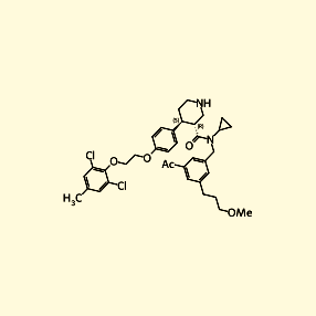 COCCCc1cc(CN(C(=O)[C@H]2CNCC[C@@H]2c2ccc(OCCOc3c(Cl)cc(C)cc3Cl)cc2)C2CC2)cc(C(C)=O)c1